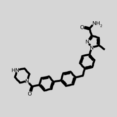 Cc1cc(C(N)=O)nn1-c1ccc(Cc2ccc(-c3ccc(C(=O)N4CCNCC4)cc3)cc2)cc1